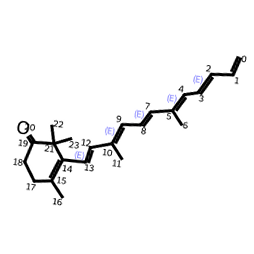 C=C/C=C/C=C(C)/C=C/C=C(C)/C=C/C1=C(C)CCC(=O)C1(C)C